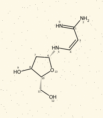 N=C(N)/C=C\N[C@H]1CC(O)[C@@H](CO)O1